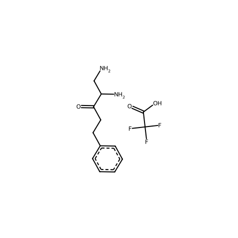 NCC(N)C(=O)CCc1ccccc1.O=C(O)C(F)(F)F